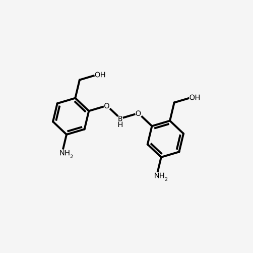 Nc1ccc(CO)c(OBOc2cc(N)ccc2CO)c1